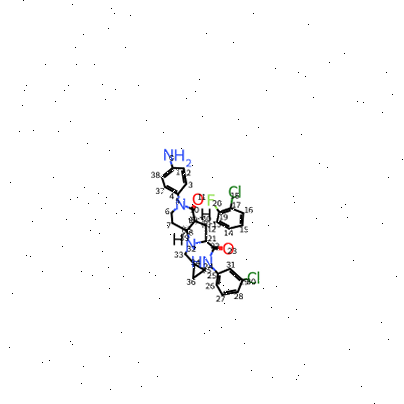 Nc1ccc(N2CC[C@H]3[C@@H](C2=O)[C@H](c2cccc(Cl)c2F)C(C(=O)Nc2cccc(Cl)c2)N3CC2CC2)cc1